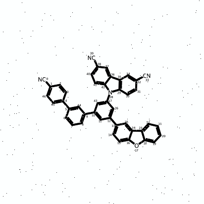 N#Cc1ccc(-c2cccc(-c3cc(-c4ccc5oc6ccccc6c5c4)cc(-n4c5ccc(C#N)cc5c5cc(C#N)ccc54)c3)c2)cc1